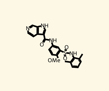 COc1ccc(NC(=O)c2c[nH]c3cnccc23)cc1S(=O)(=O)Nc1c(C)cccc1C